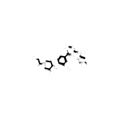 CCn1cc(Nc2ncnc(-c3ccc(O[C@H]4CCN(C(=O)CO)C[C@@H]4F)c(C#N)c3)n2)nn1